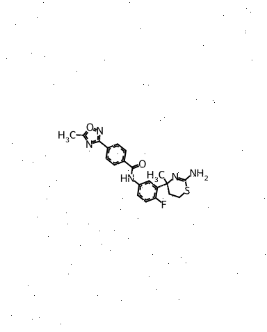 Cc1nc(-c2ccc(C(=O)Nc3ccc(F)c(C4(C)CCSC(N)=N4)c3)cc2)no1